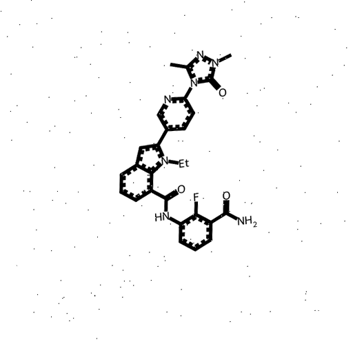 CCn1c(-c2ccc(-n3c(C)nn(C)c3=O)nc2)cc2cccc(C(=O)Nc3cccc(C(N)=O)c3F)c21